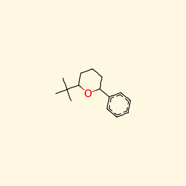 CC(C)(C)C1CCCC(c2ccccc2)O1